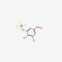 O=Cc1cc(Cl)c(Cl)c(OC(F)(F)F)c1